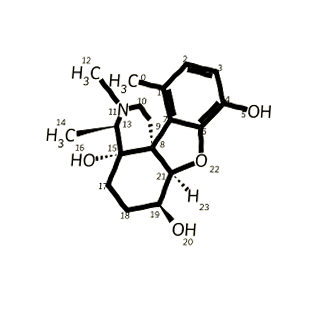 Cc1ccc(O)c2c1[C@]13CCN(C)[C@H](C)[C@]1(O)CC[C@H](O)[C@@H]3O2